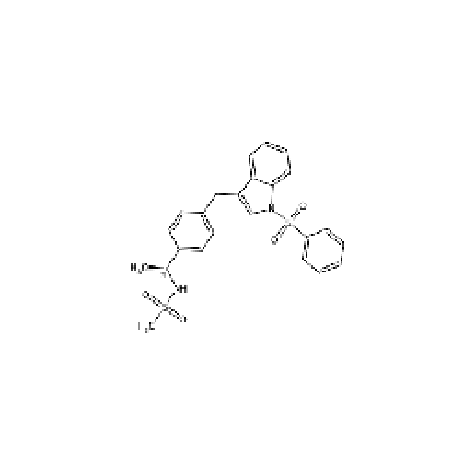 C[C@H](NS(C)(=O)=O)c1ccc(Cc2cn(S(=O)(=O)c3ccccc3)c3ccccc23)cc1